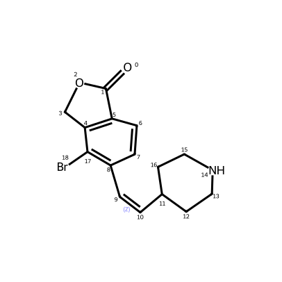 O=C1OCc2c1ccc(/C=C\C1CCNCC1)c2Br